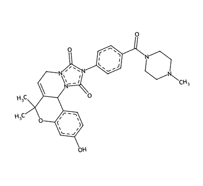 CN1CCN(C(=O)c2ccc(-n3c(=O)n4n(c3=O)C3C(=CC4)C(C)(C)Oc4cc(O)ccc43)cc2)CC1